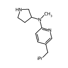 CC(C)Cc1ccc(N(C)C2CCNC2)nc1